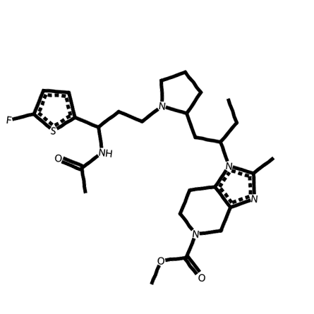 CCC(CC1CCCN1CCC(NC(C)=O)c1ccc(F)s1)n1c(C)nc2c1CCN(C(=O)OC)C2